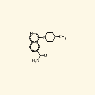 CC1CCN(c2cncc3ccc(C(N)=O)cc23)CC1